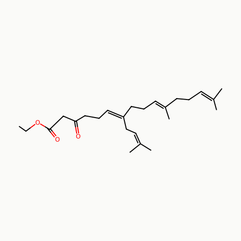 CCOC(=O)CC(=O)CC/C=C(\CC=C(C)C)CC/C=C(\C)CCC=C(C)C